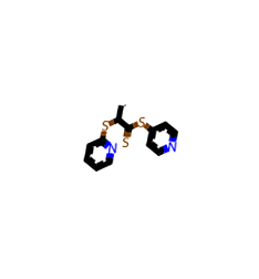 [CH2]C(Sc1ccccn1)C(=S)Sc1ccncc1